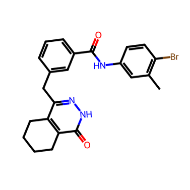 Cc1cc(NC(=O)c2cccc(Cc3n[nH]c(=O)c4c3CCCC4)c2)ccc1Br